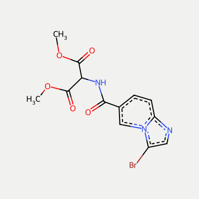 COC(=O)C(NC(=O)c1ccc2ncc(Br)n2c1)C(=O)OC